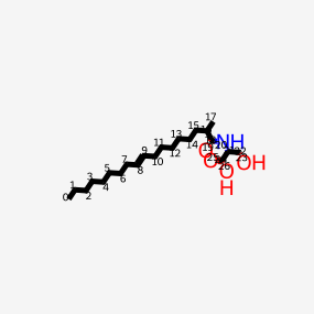 CCCCCCCCC=CCCCCCCC(C)C(=O)NC(CO)C(=O)O